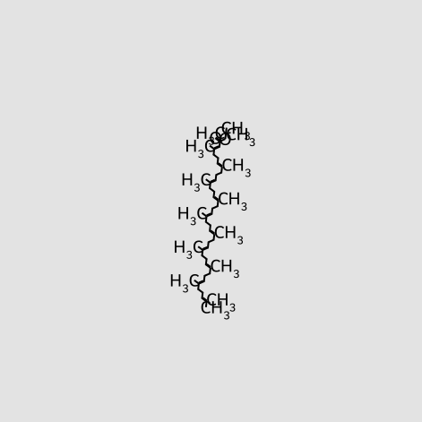 CC(C)=CCCC(C)=CCCC(C)=CCCC(C)=CCCC(C)=CCCC(C)=CCCC(C)=CCCC(C)=CCCC(C)=CCCC(C)=CC(=O)OC(C)(C)C